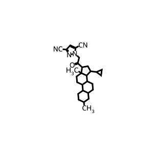 CC1CCC2C(CCC3C2CCC2(C)C(C(=O)Cn4nc(C#N)cc4C#N)CC(C4CC4)C32)C1